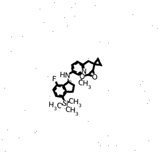 COC1OC1C1(Cc2ccc(N[C@@H]3CCc4c([Si](C)(C)C)ccc(F)c43)cn2)CC1